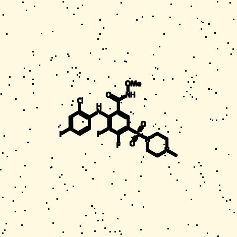 CONC(=O)c1cc(S(=O)(=O)N2CCN(C)CC2)c(F)c(F)c1Nc1ccc(I)cc1Cl